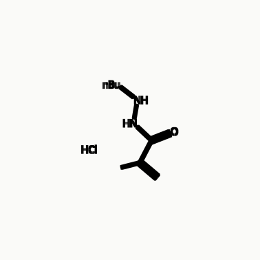 C=C(C)C(=O)NNCCCC.Cl